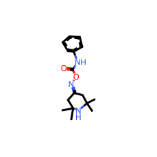 CC1(C)CC(=NOC(=O)Nc2ccccc2)CC(C)(C)N1